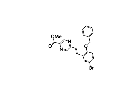 COC(=O)c1cnc(C=Cc2cc(Br)ccc2OCc2ccccc2)cn1